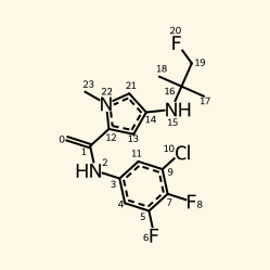 C=C(Nc1cc(F)c(F)c(Cl)c1)c1cc(NC(C)(C)CF)cn1C